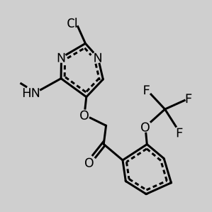 CNc1nc(Cl)ncc1OCC(=O)c1ccccc1OC(F)(F)F